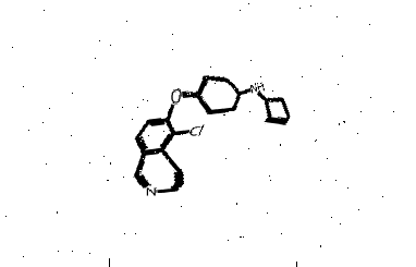 Clc1c(OC2CCC(NC3CCC3)CC2)ccc2cnccc12